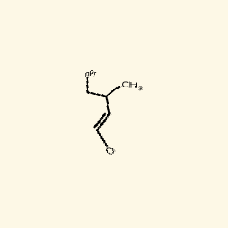 CCCCC(C)/C=C/[O]